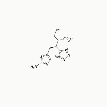 CC(C)C[C@H](C(=O)O)[C@H](Cc1cnc(N)s1)c1nnn[nH]1